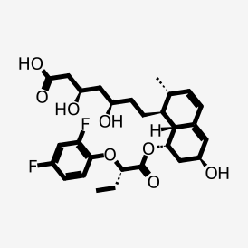 CC[C@H](Oc1ccc(F)cc1F)C(=O)O[C@H]1C[C@H](O)C=C2C=C[C@@H](C)[C@H](CC[C@@H](O)C[C@@H](O)CC(=O)O)[C@H]21